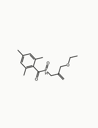 C=C(COCC)C[PH](=O)C(=O)c1c(C)cc(C)cc1C